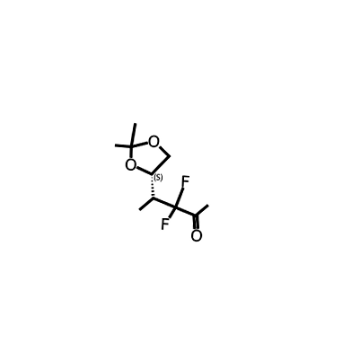 CC(=O)C(F)(F)C(C)[C@H]1COC(C)(C)O1